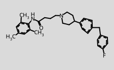 Cc1cc(C)c(NC(=O)CCCN2CCC(c3ccc(Cc4ccc(F)cc4)cc3)CC2)c(C)c1